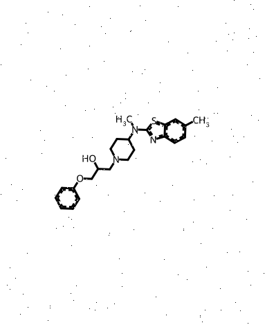 Cc1ccc2nc(N(C)C3CCN(CC(O)COc4ccccc4)CC3)sc2c1